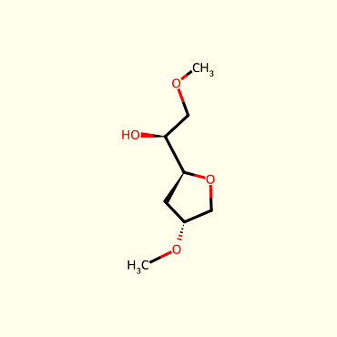 COC[C@H](O)[C@@H]1C[C@@H](OC)CO1